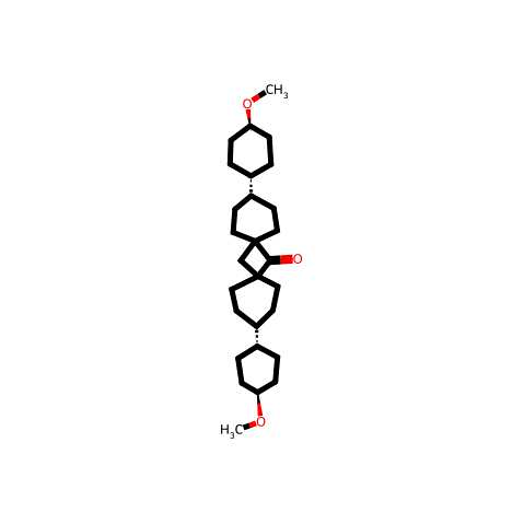 CO[C@H]1CC[C@H](C2CCC3(CC2)CC2(CCC([C@H]4CC[C@H](OC)CC4)CC2)C3=O)CC1